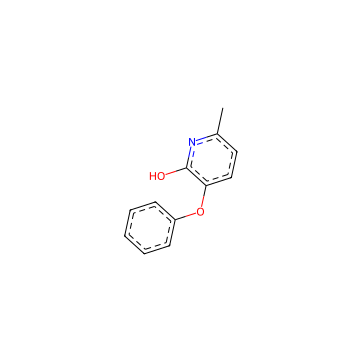 Cc1ccc(Oc2ccccc2)c(O)n1